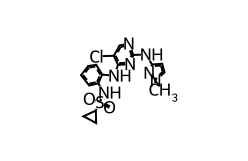 Cn1ccc(Nc2ncc(Cl)c(Nc3ccccc3NS(=O)(=O)C3CC3)n2)n1